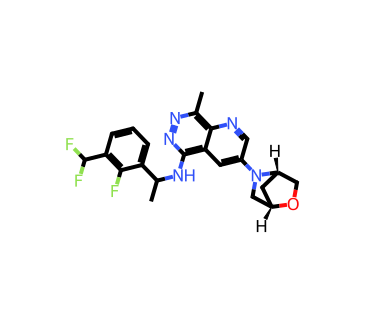 Cc1nnc(NC(C)c2cccc(C(F)F)c2F)c2cc(N3C[C@@H]4C[C@H]3CO4)cnc12